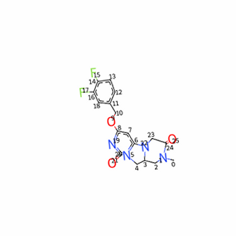 CN1CC2Cn3c(cc(OCc4ccc(F)c(F)c4)nc3=O)N2CC1=O